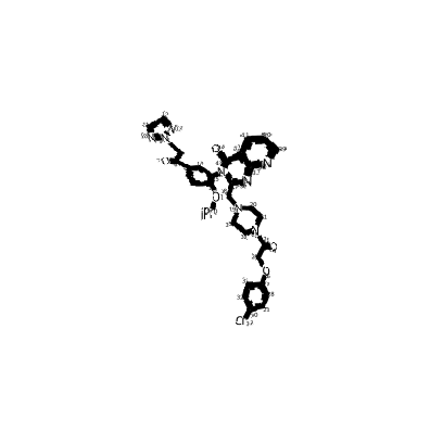 CC(C)Oc1ccc(C(=O)Cn2nccn2)cc1-n1c(CN2CCN(C(=O)COc3ccc(Cl)cc3)CC2)nc2ncccc2c1=O